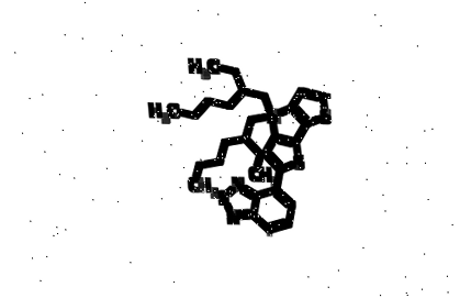 CCCCC(CC)C[Si]1(CC(CC)CCCC)c2c[c]sc2-c2sc(-c3cc[c]c4nsnc34)cc21